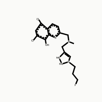 CN(CC1=CN(CCCF)NN1)Cc1ccc2c(Cl)cc(Cl)c(O)c2n1